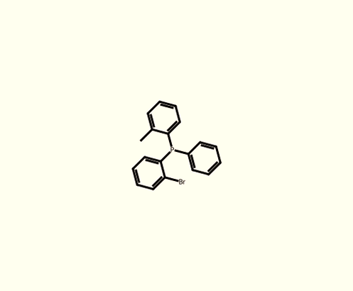 Cc1ccccc1P(c1ccccc1)c1ccccc1Br